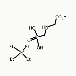 CC[N+](CC)(CC)CC.O=C(O)CNCP(=O)(O)O